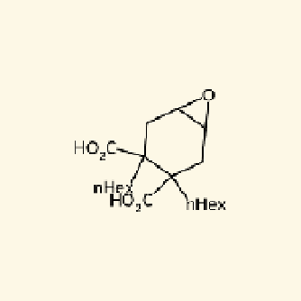 CCCCCCC1(C(=O)O)CC2OC2CC1(CCCCCC)C(=O)O